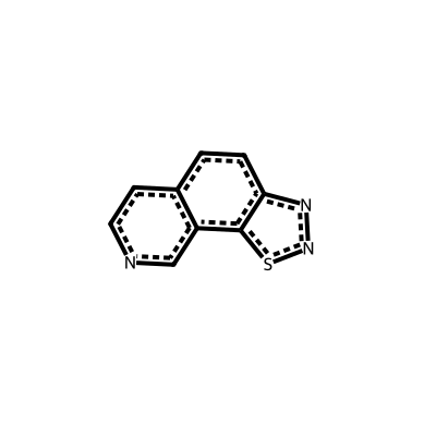 c1cc2ccc3nnsc3c2cn1